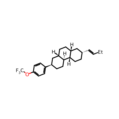 CCC=C[C@@H]1CC[C@H]2[C@H](CC[C@H]3C[C@H](c4ccc(OC(F)(F)F)cc4)CC[C@@H]32)C1